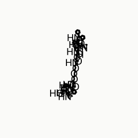 CC[C@H](NC)C(=O)N[C@@H]1C(=O)N2[C@@H](CC[C@@H]1CNC(=O)COCC(=O)NCCOCCOCCOCCNC(=O)[C@@H](NC(=O)[C@@H]1CC[C@@H]3CC[C@H](CO)[C@H](NC(=O)[C@H](CC)NC)C(=O)N31)c1ccccc1)CC[C@H]2C(=O)NC(c1ccccc1)c1ccccc1